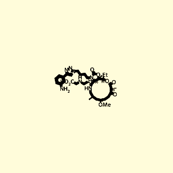 CC[C@H]1OC(=O)[C@H](C)C(=O)CC[C@H](OC)C[C@@H](C)CN[C@H](CCNCC(=O)O)[C@H]2N(CCCCn3cc(-c4cccc(N)c4)nn3)C(=O)O[C@]12C